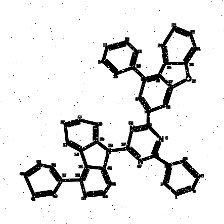 c1ccc(-c2nc(-c3cc(-c4ccccc4)c4c(c3)oc3ccccc34)nc(-n3c4ccccc4c4c(-c5ccccc5)cccc43)n2)cc1